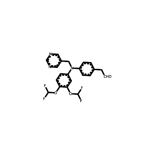 O=CCc1ccc(N(Cc2cncnc2)c2ccc(OC(F)F)c(OC(F)F)c2)cc1